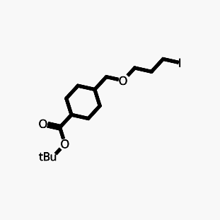 CC(C)(C)OC(=O)C1CCC(COCCCI)CC1